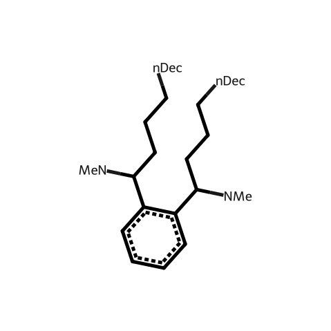 CCCCCCCCCCCCCC(NC)c1ccccc1C(CCCCCCCCCCCCC)NC